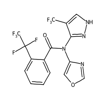 O=C(c1ccccc1C(F)(F)C(F)(F)F)N(c1cocn1)c1n[nH]cc1C(F)(F)F